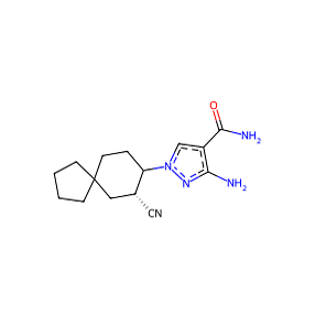 N#C[C@@H]1CC2(CCCC2)CCC1n1cc(C(N)=O)c(N)n1